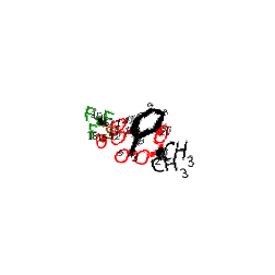 CC1(C)OC(=O)c2c(cccc2OS(=O)(=O)C(F)(F)F)O1